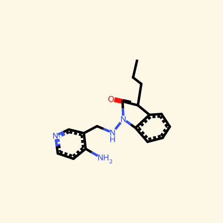 CCCC1C(=O)N(NCc2cnccc2N)c2ccccc21